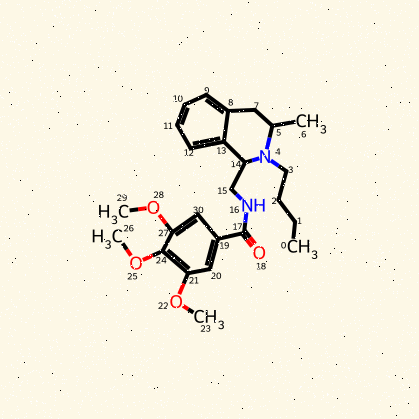 CCCCN1C(C)Cc2ccccc2C1CNC(=O)c1cc(OC)c(OC)c(OC)c1